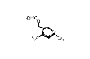 Cc1cc(C)c(CO[C]=O)cn1